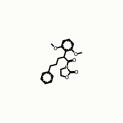 COc1cccc(OC)c1C(CCCc1ccccc1)C(=O)N1CCOC1=O